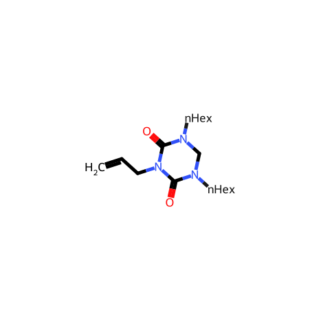 C=CCN1C(=O)N(CCCCCC)CN(CCCCCC)C1=O